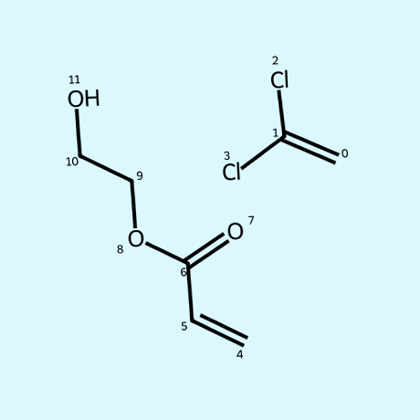 C=C(Cl)Cl.C=CC(=O)OCCO